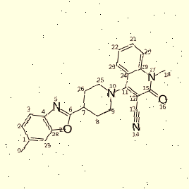 Cc1ccc2nc(C3CCN(c4c(C#N)c(=O)n(C)c5ccccc45)CC3)oc2c1